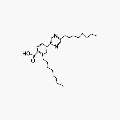 CCCCCCCCc1cnc(-c2ccc(C(=O)O)c(CCCCCCCC)c2)cn1